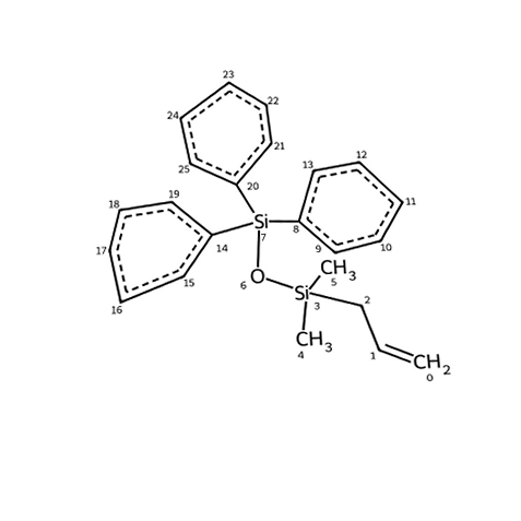 C=CC[Si](C)(C)O[Si](c1ccccc1)(c1ccccc1)c1ccccc1